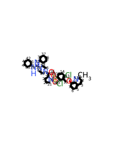 Cc1ccc2cccc(OCc3c(Cl)ccc(S(=O)(=O)N4CCCC4C(=O)N4CCN(/C(=N\C5CCCCC5)NC5CCCCC5)CC4)c3Cl)c2n1